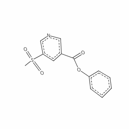 CS(=O)(=O)c1cncc(C(=O)Oc2ccccc2)c1